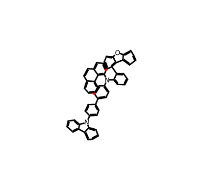 c1ccc(N(c2ccc(-c3ccc(-n4c5ccccc5c5ccccc54)cc3)cc2)c2cccc3ccc4ccccc4c23)c(-c2cccc3oc4ccccc4c23)c1